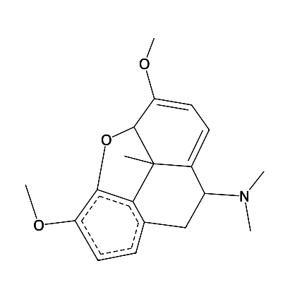 COC1=CC=C2C(N(C)C)Cc3ccc(OC)c4c3C2(C)C1O4